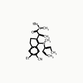 C=C(C(=O)N(C)C(C)(C)C)C1=C(N(C)C(/C=C\C)=C/C)c2cc(C#N)c(CC)cc2CC1